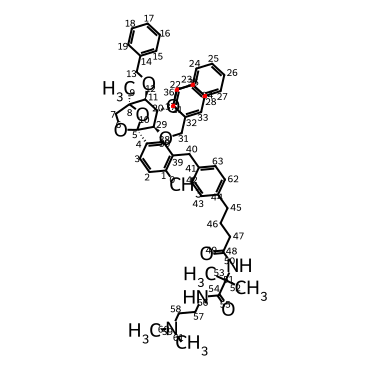 Cc1ccc([C@]23OC[C@](C)(O2)[C@@H](OCc2ccccc2)[C@H](OCc2ccccc2)[C@H]3OCc2ccccc2)cc1Cc1ccc(CCCC(=O)NC(C)(C)C(=O)NCCN(C)C)cc1